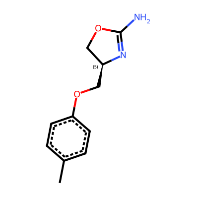 Cc1ccc(OC[C@H]2COC(N)=N2)cc1